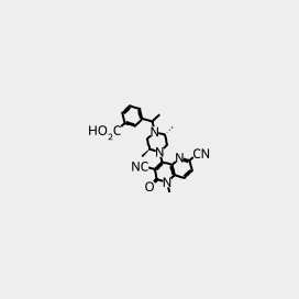 CC(c1cccc(C(=O)O)c1)N1C[C@H](C)N(c2c(C#N)c(=O)n(C)c3ccc(C#N)nc23)C[C@H]1C